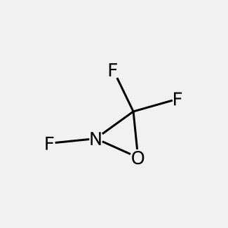 FN1OC1(F)F